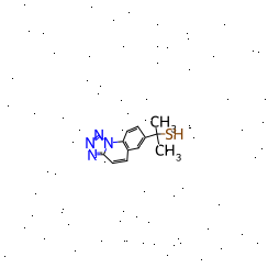 CC(C)(S)c1ccc2c(ccc3nnnn32)c1